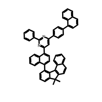 CC1(C)c2cccc(-c3ccc(-c4cc(-c5ccc(-c6cccc7ccccc67)cc5)nc(-c5ccccc5)n4)c4ccccc34)c2-c2c1ccc1ccccc21